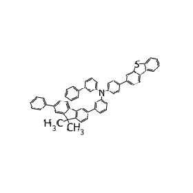 CC1(C)c2ccc(-c3cccc(N(c4ccc(-c5ccc6c(c5)sc5ccccc56)cc4)c4cccc(-c5ccccc5)c4)c3)cc2-c2ccc(-c3ccccc3)cc21